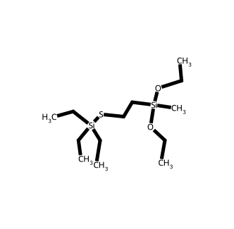 CCO[Si](C)(CCS[Si](CC)(CC)CC)OCC